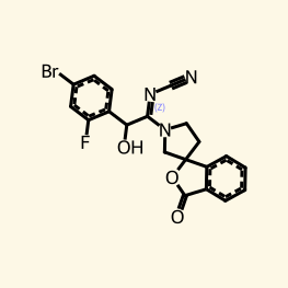 N#C/N=C(/C(O)c1ccc(Br)cc1F)N1CCC2(C1)OC(=O)c1ccccc12